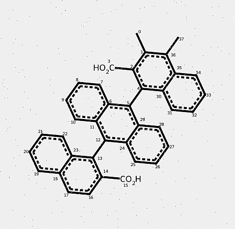 Cc1c(C(=O)O)c(-c2c3ccccc3c(-c3c(C(=O)O)ccc4ccccc34)c3ccccc23)c2ccccc2c1C